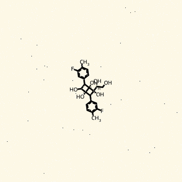 Cc1ccc(C2C(O)[C@@]3(O)C(c4ccc(C)c(F)c4)[C@@](O)([C@H](O)CO)[C@@]23O)cc1F